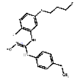 CSc1ccc(N/C(=N\O)Nc2cc(SCCCF)ccc2Cl)cc1